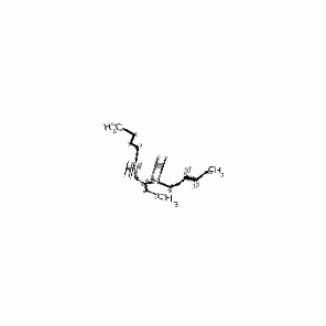 CCCCN[C](CC)NCCCC